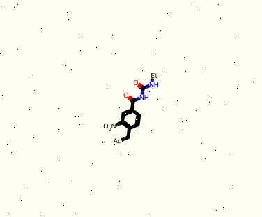 CCNC(=O)NC(=O)c1ccc(CC(C)=O)c([N+](=O)[O-])c1